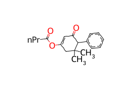 CCCC(=O)OC1=CC(=O)C(c2ccccc2)C(C)(C)C1